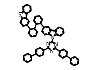 c1ccc(-c2ccc(-c3nc(-c4ccc(-c5ccccc5)cc4)nc(-n4c5ccccc5c5cc(-c6ccccc6-c6ccccc6-c6ccc7sc8ccccc8c7c6)ccc54)n3)cc2)cc1